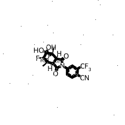 C[C@@]12O[C@@](C)([C@H]3C(=O)N(c4ccc(C#N)c(C(F)(F)F)c4)C(=O)[C@H]31)C(O)(O)[C@@H]2F